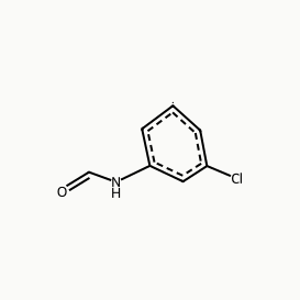 O=CNc1c[c]cc(Cl)c1